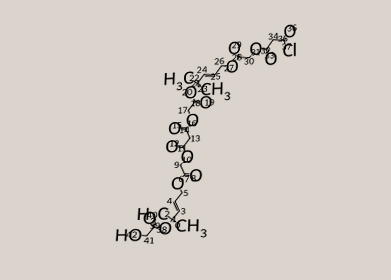 CC(C)(C=CCOC(=O)COC(=O)CC(=O)OCC(=O)OC(C)(C)C=CCOC(=O)COC(=O)CC(=O)Cl)OC(=O)CO